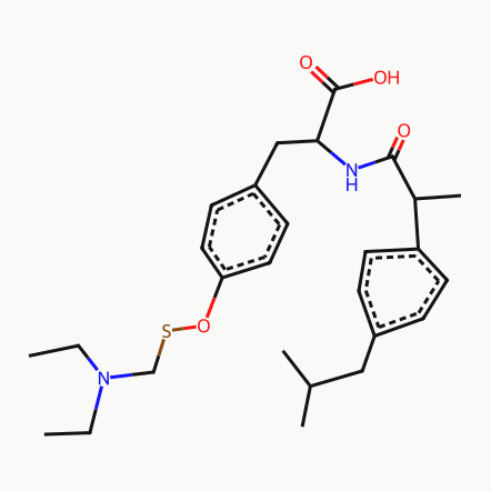 CCN(CC)CSOc1ccc(CC(NC(=O)C(C)c2ccc(CC(C)C)cc2)C(=O)O)cc1